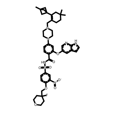 CC1(C)CCC(CN2CCN(c3ccc(C(=O)NS(=O)(=O)c4ccc(OCC5(F)CCOCC5)c([N+](=O)[O-])c4)c(Oc4cnc5[nH]ccc5c4)c3)CC2)=C(C23CC(C)(C2)C3)C1